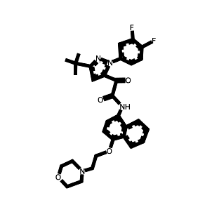 CC(C)(C)c1cc(C(=O)C(=O)Nc2ccc(OCCN3CCOCC3)c3ccccc23)n(-c2ccc(F)c(F)c2)n1